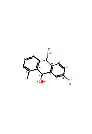 Cc1ccccc1C(O)c1cc(Cl)ccc1CO